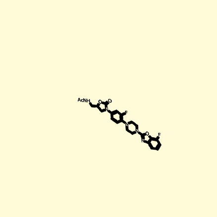 CC(=O)NCC1CN(c2ccc(N3CCN(c4nc5cccc(F)c5o4)CC3)c(F)c2)C(=O)O1